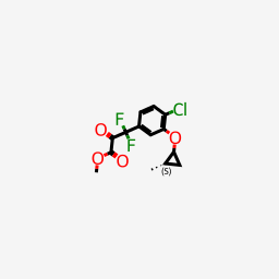 COC(=O)C(=O)C(F)(F)c1ccc(Cl)c(OC2C[C@@H]2C)c1